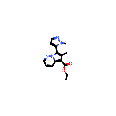 CCOC(=O)c1c(C)c(-c2ccnn2C)n2ncccc12